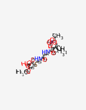 CCOP1(=O)OCC(C)(C)[C@H](C(=O)NCCC(=O)NCCSC(CC(=O)OC)C(=O)O)O1